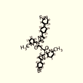 Cc1cccc(N(C(=O)CCC(=O)N(c2cccc(C)n2)c2nc(-c3ccc(-c4ccnc(F)c4)cc3)cs2)c2nc(-c3ccc(Br)cc3)cs2)n1